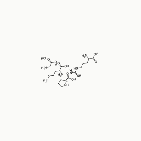 CSCCC(N)C(=O)O.Cl.N=C(N)NCCCC(N)C(=O)O.NCC(=O)O.O=C(O)[C@@H]1CCCN1